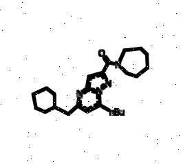 CCCCc1cc(CC2CCCCC2)nc2cc(C(=O)N3CCCCCC3)nn12